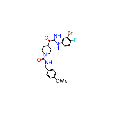 COc1ccc(CNC(=O)N2CCC(C(=O)C(=N)Nc3ccc(F)c(Br)c3)CC2)cc1